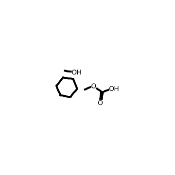 C1CCCCC1.CO.COC(=O)O